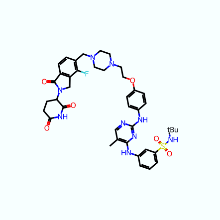 Cc1cnc(Nc2ccc(OCCN3CCN(Cc4ccc5c(c4F)CN(C4CCC(=O)NC4=O)C5=O)CC3)cc2)nc1Nc1cccc(S(=O)(=O)NC(C)(C)C)c1